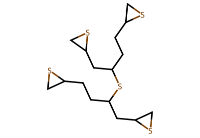 C(CC(CC1CS1)SC(CCC1CS1)CC1CS1)C1CS1